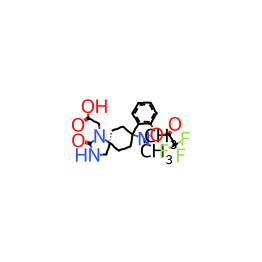 CN(C)[C@]1(c2ccccc2OC(=O)C(F)(F)F)CC[C@]2(CC1)CNC(=O)N2CC(=O)O